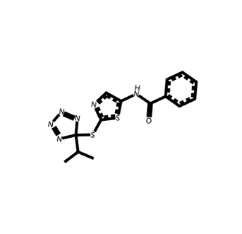 CC(C)C1(Sc2ncc(NC(=O)c3ccccc3)s2)N=NN=N1